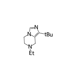 CCN1CCn2cnc(C(C)(C)C)c2C1